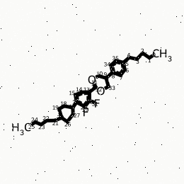 CCCCCc1ccc(C2COC(c3ccc(C4CCC(CCCCC)CC4)c(F)c3F)OC2)cc1